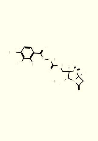 C[C@]1(COC(=O)NNC(=O)c2ccc(O)c(O)c2F)[C@H](C(=O)O)N2C(=O)C[C@H]2S1(=O)=O